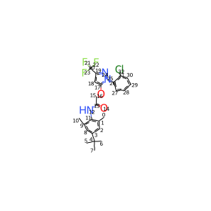 Cc1cc(C(C)(C)C)cc(C)c1NC(=O)COc1cc(C(F)(F)F)nn1-c1ccccc1Cl